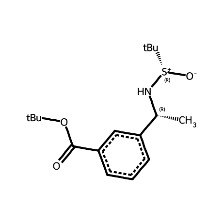 C[C@@H](N[S@@+]([O-])C(C)(C)C)c1cccc(C(=O)OC(C)(C)C)c1